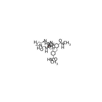 CNC(=O)c1ccc2c(c1)Cc1cc(C(=O)NC)ccc1C2(C[C@H](C)NCC(=O)N1[C@H](C#N)C[C@@H]2C[C@@H]21)c1nn[nH]n1